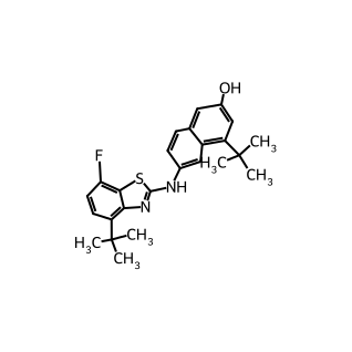 CC(C)(C)c1cc(O)cc2ccc(Nc3nc4c(C(C)(C)C)ccc(F)c4s3)cc12